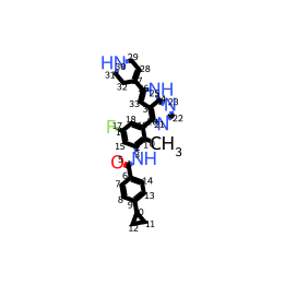 Cc1c(NC(=O)c2ccc(C3CC3)cc2)cc(F)cc1-c1ncnc2[nH]c(C3=CCNCC3)cc12